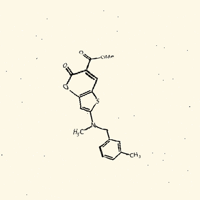 COC(=O)c1cc2sc(N(C)Cc3cccc(C)c3)cc2oc1=O